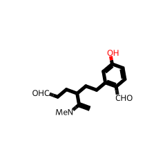 C=C(NC)C(CCC=O)CCc1cc(O)ccc1C=O